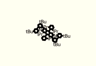 CC(C)c1cccc(C(C)C)c1-c1c2cc3c4cc(C(C)(C)C)cc5c6cc(C(C)(C)C)ccc6n(c3cc2c(-c2c(C(C)C)cccc2C(C)C)c2cc3c6cc(C(C)(C)C)cc7c8cc(C(C)(C)C)ccc8n(c3cc12)c76)c54